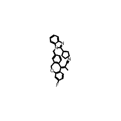 CC(C#N)=C1c2ccc(Cn3c(C4CCCC4)nc4ccccc43)cc2COc2cc(F)ccc21